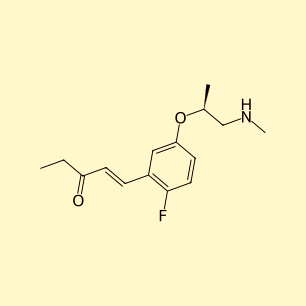 CCC(=O)/C=C/c1cc(O[C@@H](C)CNC)ccc1F